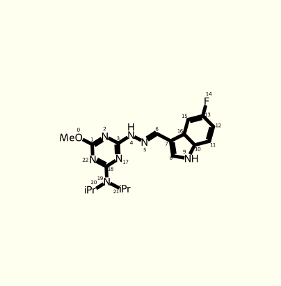 COc1nc(N/N=C/C2=CNC3C=CC(F)=CC23)nc(N(C(C)C)C(C)C)n1